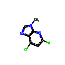 Cn1cnc2c(Cl)cc(Cl)nc21